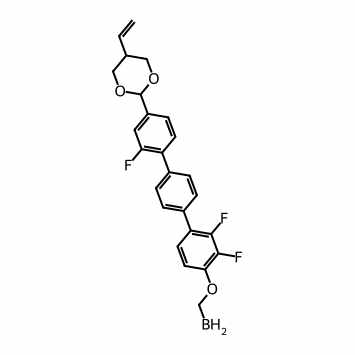 BCOc1ccc(-c2ccc(-c3ccc(C4OCC(C=C)CO4)cc3F)cc2)c(F)c1F